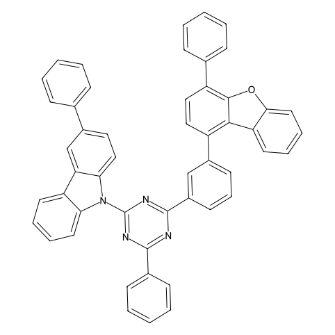 c1ccc(-c2ccc3c(c2)c2ccccc2n3-c2nc(-c3ccccc3)nc(-c3cccc(-c4ccc(-c5ccccc5)c5oc6ccccc6c45)c3)n2)cc1